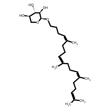 CC(C)=CCCC(C)=CCCC(C)=CCCC(C)=CCCCO[C@H]1OC[C@@H](O)[C@H](O)[C@H]1O